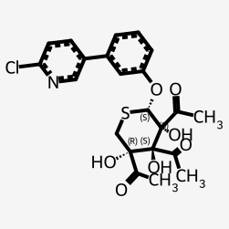 CC(=O)[C@]1(O)[C@@](O)(C(C)=O)CS[C@H](Oc2cccc(-c3ccc(Cl)nc3)c2)[C@@]1(O)C(C)=O